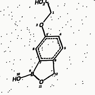 O=C(O)COc1ccc2c(c1)B(O)OC2